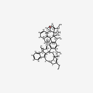 CCC1=C[C@@H]2CN(C1)Cc1c([nH]c3ccccc13)[C@@](C(=O)OC)(c1cc3c(cc1OC)N(C)[C@H]1C(O)(C(=O)OC)[C@H](O)[C@]4(CC)C=CCN5CCC31[C@@H]54)C2